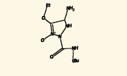 CCOC1=[N+]([O-])N(C(=O)NC(C)(C)C)NC1N